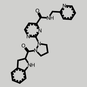 O=C(NCc1ccccn1)c1ccnc(N2CCCN2C(=O)C2Cc3ccccc3N2)n1